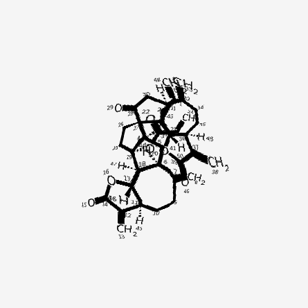 C=CCO[C@]12C[C@H]3C(=C)CC[C@H]4C(=C)C(=O)O[C@@H]4[C@H]3[C@@]1(OC(=O)C=C)CC[C@]21C(=O)C[C@H]2C(=C)CC[C@H]3C(=C)C(=O)O[C@@H]3C21